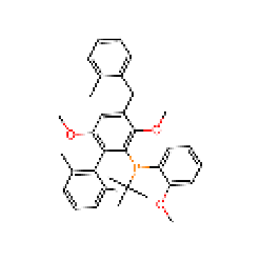 COc1ccccc1P(c1c(OC)c(Cc2ccccc2C)cc(OC)c1-c1c(C)cccc1C)C(C)(C)C